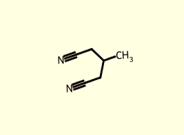 CC(CC#N)CC#N